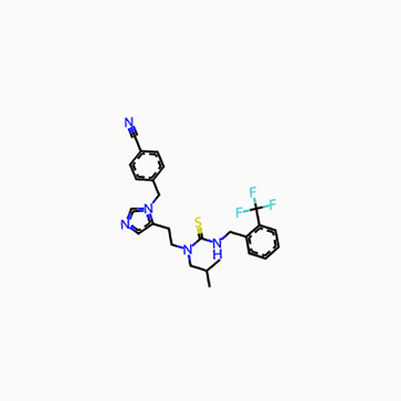 CC(C)CN(CCc1cncn1Cc1ccc(C#N)cc1)C(=S)NCc1ccccc1C(F)(F)F